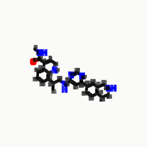 CNC(=O)c1ccnc2c([C@H](C)CNc3cc(-c4ccc5c(c4)CNCC5)ncn3)cccc12